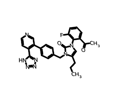 CCCc1cn(-c2c(F)cccc2C(C)=O)c(=O)n1Cc1ccc(-c2cnccc2-c2nnn[nH]2)cc1